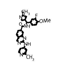 COc1ccc(C(NC(=O)c2ccc3cnc(Nc4ccnc(C)c4)nc3c2)c2cnn(C)c2)cc1F